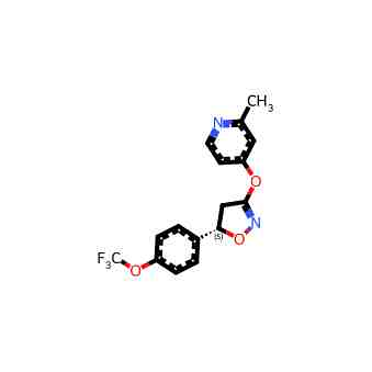 Cc1cc(OC2=NO[C@H](c3ccc(OC(F)(F)F)cc3)C2)ccn1